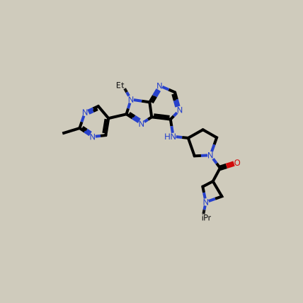 CCn1c(-c2cnc(C)nc2)nc2c(NC3CCN(C(=O)C4CN(C(C)C)C4)C3)ncnc21